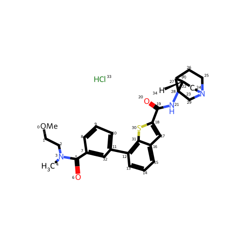 COCCN(C)C(=O)c1cccc(-c2cccc3cc(C(=O)N[C@H]4CN5CCC4CC5)sc23)c1.Cl